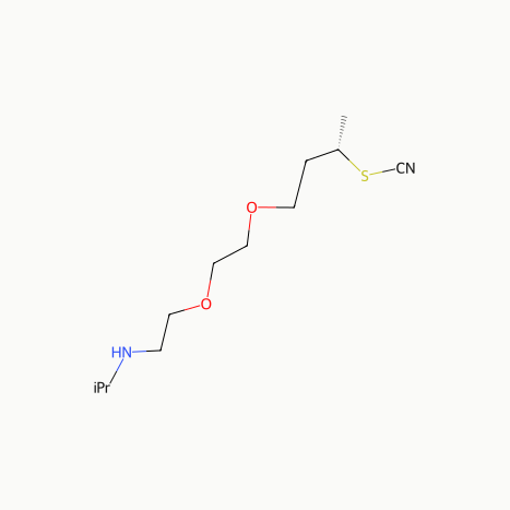 CC(C)NCCOCCOCC[C@H](C)SC#N